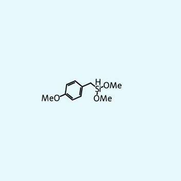 COc1ccc(C[SiH](OC)OC)cc1